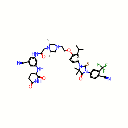 CC(C)c1cc(N2C(=S)N(c3ccc(C#N)c(C(F)(F)F)c3)C(=O)C2(C)C)ccc1OCCN1C[C@@H](C)N(CC(=O)Nc2cc(C#N)cc(NC3CCC(=O)NC3=O)c2)[C@@H](C)C1